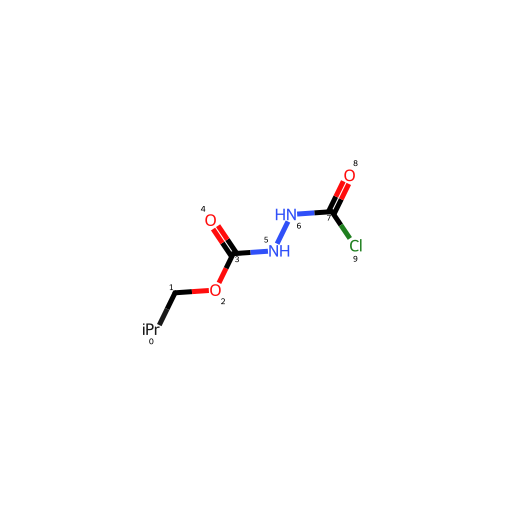 CC(C)COC(=O)NNC(=O)Cl